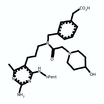 CCCCCNc1nc(N)nc(C)c1CCCN(Cc1cccc(CC(=O)O)c1)C(=O)CN1CCC(O)CC1